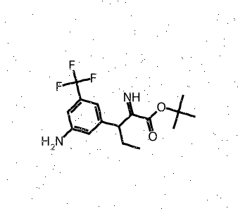 CCC(C(=N)C(=O)OC(C)(C)C)c1cc(N)cc(C(F)(F)F)c1